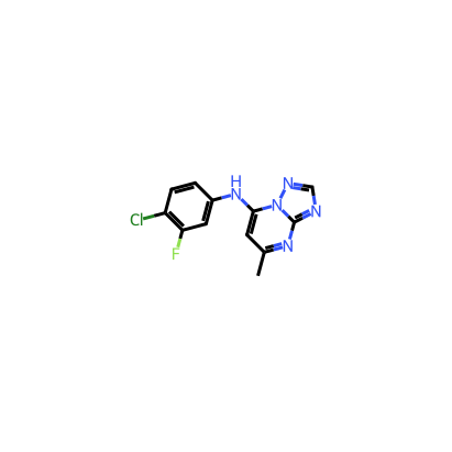 Cc1cc(Nc2ccc(Cl)c(F)c2)n2ncnc2n1